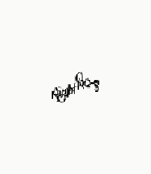 O=C(c1nccs1)N1CCN(C2CC(=O)N(c3ccc(-c4cccs4)cc3)C2)CC1